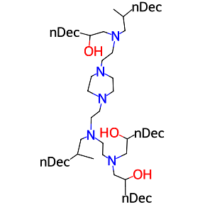 CCCCCCCCCCC(C)CN(CCN1CCN(CCN(CC(C)CCCCCCCCCC)CC(O)CCCCCCCCCC)CC1)CCN(CC(O)CCCCCCCCCC)CC(O)CCCCCCCCCC